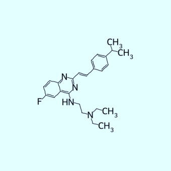 CCN(CC)CCNc1nc(/C=C/c2ccc(C(C)C)cc2)nc2ccc(F)cc12